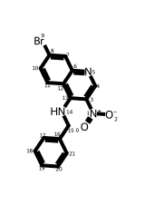 O=[N+]([O-])c1cnc2cc(Br)ccc2c1NCc1ccccc1